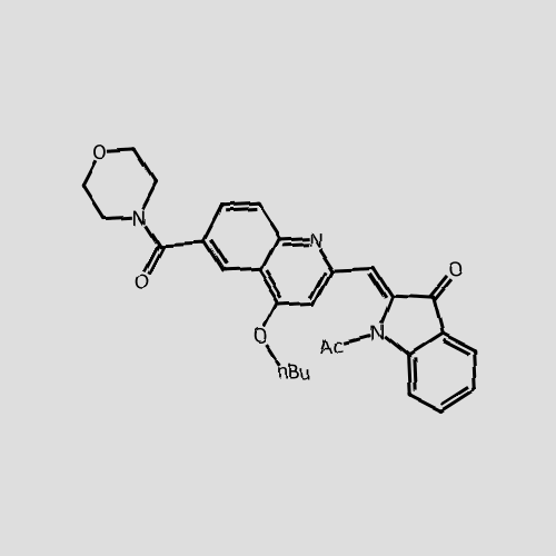 CCCCOc1cc(/C=C2/C(=O)c3ccccc3N2C(C)=O)nc2ccc(C(=O)N3CCOCC3)cc12